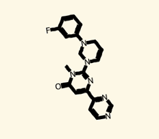 Cn1c(N2C=CCN(c3cccc(F)c3)C2)nc(-c2ccncn2)cc1=O